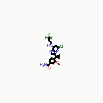 COc1cc(C(N)=O)ccc1C1(c2cnc3c(NCCC(F)(F)F)cc(Cl)nn23)CC1